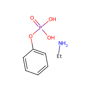 CCN.O=P(O)(O)Oc1ccccc1